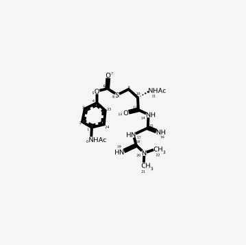 CC(=O)Nc1ccc(OC(=O)SC[C@H](NC(C)=O)C(=O)NC(=N)NC(=N)N(C)C)cc1